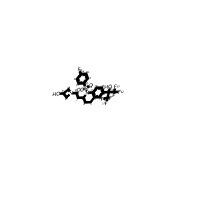 O=C(CC1CCc2cc(C(O)(C(F)(F)F)C(F)(F)F)ccc2N1S(=O)(=O)c1ccc(F)cc1)N1CC(O)C1